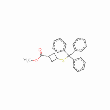 COC(=O)C1CC(SC(c2ccccc2)(c2ccccc2)c2ccccc2)C1